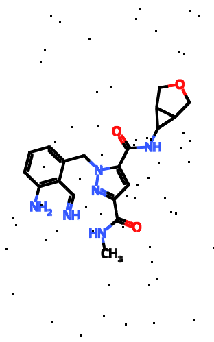 CNC(=O)c1cc(C(=O)NC2C3COCC32)n(Cc2cccc(N)c2C=N)n1